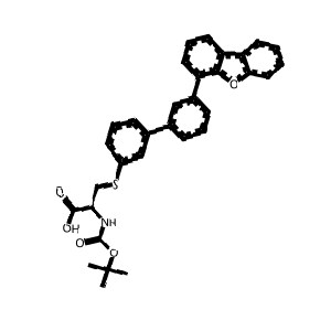 CC(C)(C)OC(=O)N[C@H](CSc1cccc(-c2cccc(-c3cccc4c3oc3ccccc34)c2)c1)C(=O)O